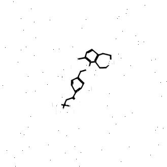 C[C@H](Sc1c(Cl)ccc2c1CCNCC2)c1ccc(C(=O)CC(C)(C)C)cc1.Cl